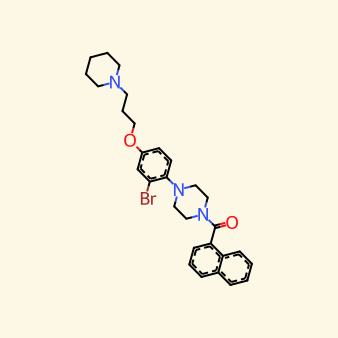 O=C(c1cccc2ccccc12)N1CCN(c2ccc(OCCCN3CCCCC3)cc2Br)CC1